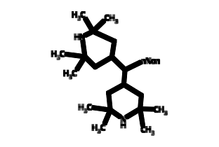 CCCCCCCCCC(C1CC(C)(C)NC(C)(C)C1)C1CC(C)(C)NC(C)(C)C1